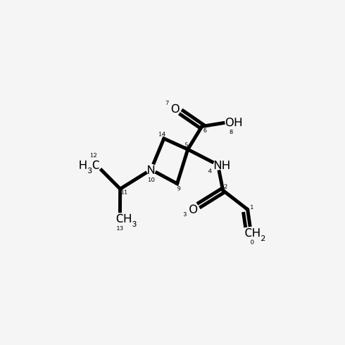 C=CC(=O)NC1(C(=O)O)CN(C(C)C)C1